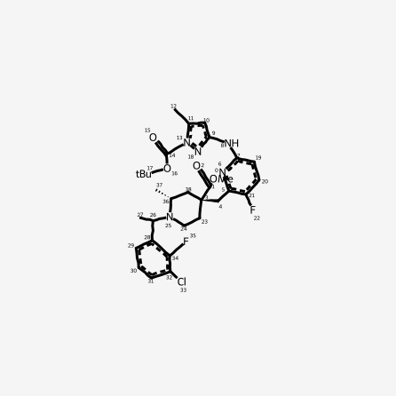 COC(=O)[C@]1(Cc2nc(Nc3cc(C)n(C(=O)OC(C)(C)C)n3)ccc2F)CCN(C(C)c2cccc(Cl)c2F)[C@H](C)C1